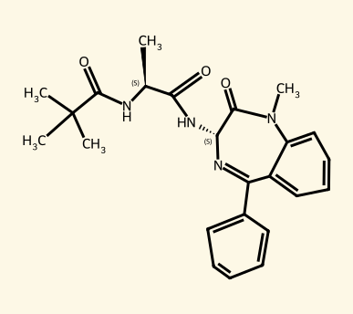 C[C@H](NC(=O)C(C)(C)C)C(=O)N[C@H]1N=C(c2ccccc2)c2ccccc2N(C)C1=O